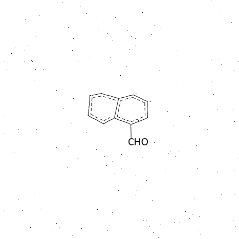 O=Cc1c[c]cc2ccccc12